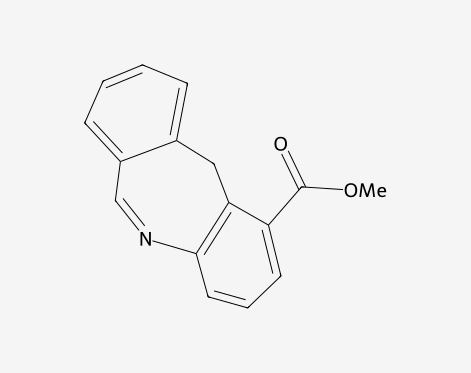 COC(=O)c1cccc2c1Cc1ccccc1C=N2